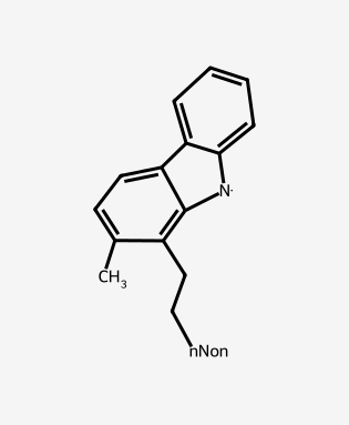 CCCCCCCCCCCc1c(C)ccc2c1[N]c1ccccc1-2